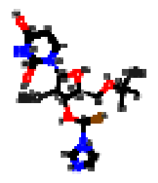 COC1C(OC(=S)n2ccnc2)[C@@H](CO[Si](C)(C)C(C)(C)C)O[C@H]1n1ccc(=O)[nH]c1=O